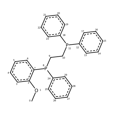 COc1ccccc1P(CCP(c1ccccc1)c1ccccc1)c1ccccc1